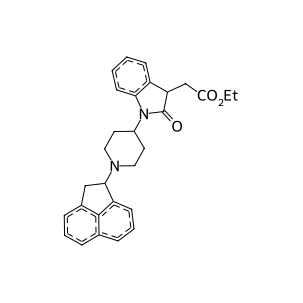 CCOC(=O)CC1C(=O)N(C2CCN(C3Cc4cccc5cccc3c45)CC2)c2ccccc21